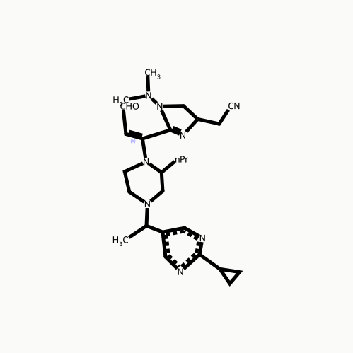 CCCC1CN(C(C)c2cnc(C3CC3)nc2)CCN1/C(=C/C=O)C1=NC(CC#N)CN1N(C)C